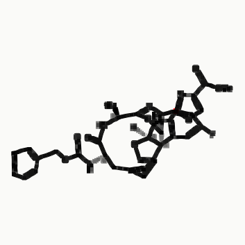 COC(=O)c1coc(-c2nc3oc2[C@@]24c5cc(F)ccc5N[C@@H]2Oc2ccc(cc24)C[C@H](NC(=O)OCc2ccccc2)C(=O)N[C@H]3C(C)(C)C)n1